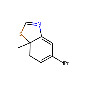 CC(C)C1=CCC2(C)SC=NC2=C1